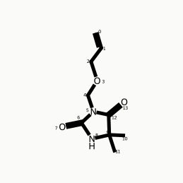 C=CCOCN1C(=O)NC(C)(C)C1=O